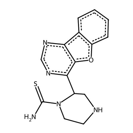 NC(=S)N1CCNCC1c1ncnc2c1oc1ccccc12